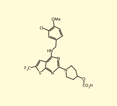 COc1ccc(CNc2nc(N3CCC(OC(=O)O)CC3)nc3sc(C(F)(F)F)cc23)cc1Cl